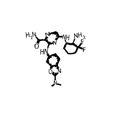 CN(C)c1nc2ccc(Nc3nc(N[C@@H]4CCCC(F)(F)[C@@H]4N)cnc3C(N)=O)cc2o1